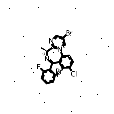 C[C@@H]1N=C(c2c(F)cccc2F)c2c(ccc(Cl)c2Br)-[n+]2cc(Br)cnc21